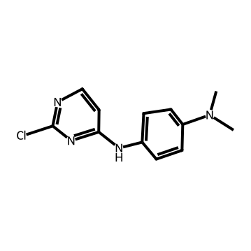 CN(C)c1ccc(Nc2ccnc(Cl)n2)cc1